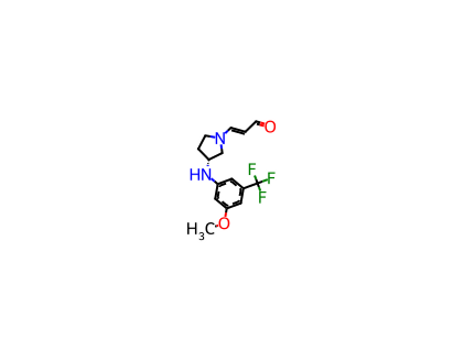 COc1cc(N[C@@H]2CCN(C=CC=O)C2)cc(C(F)(F)F)c1